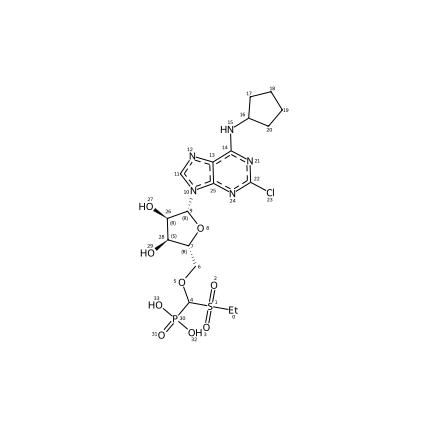 CCS(=O)(=O)C(OC[C@H]1O[C@@H](n2cnc3c(NC4CCCC4)nc(Cl)nc32)[C@H](O)[C@@H]1O)P(=O)(O)O